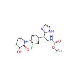 CC(C)(C)OC(=O)NCC(c1ccc(N2CCCC(O)C2=O)c(F)c1)c1ncc[nH]1